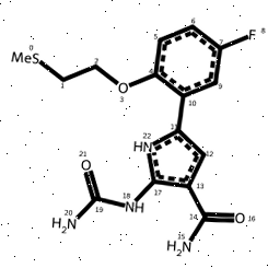 CSCCOc1ccc(F)cc1-c1cc(C(N)=O)c(NC(N)=O)[nH]1